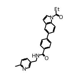 CCC(=O)n1ccc2cc(-c3ccc(C(=O)NCc4ccc(C)nc4)cc3)ccc21